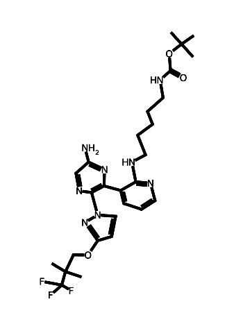 CC(C)(C)OC(=O)NCCCCCNc1ncccc1-c1nc(N)cnc1-n1ccc(OCC(C)(C)C(F)(F)F)n1